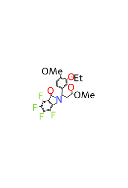 CCOc1cc(C(CC(=O)OC)N2Cc3c(F)c(F)c(F)c(F)c3C2=O)ccc1OC